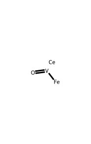 [Ce].[O]=[V][Fe]